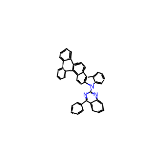 c1ccc(-c2nc(-n3c4ccccc4c4c5ccc6c7ccccc7c7ccccc7c6c5ccc43)nc3ccccc23)cc1